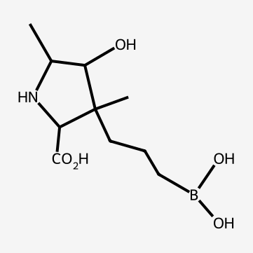 CC1NC(C(=O)O)C(C)(CCCB(O)O)C1O